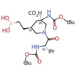 CC(C)[C@H](NC(=O)OC(C)(C)C)C(=O)N1C[C@@H](CCB(O)O)C[C@](NC(=O)OC(C)(C)C)(C(=O)O)C1